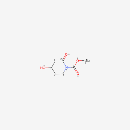 CC(C)(C)OC(=O)N1CCC(O)CC1=O